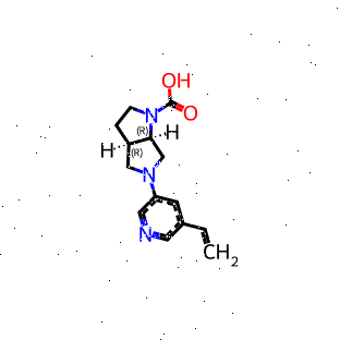 C=Cc1cncc(N2C[C@H]3CCN(C(=O)O)[C@H]3C2)c1